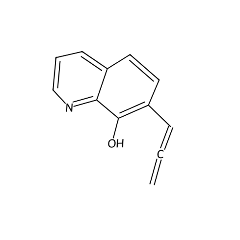 C=C=Cc1ccc2cccnc2c1O